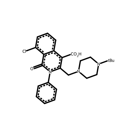 CC(C)(C)N1CCN(Cc2c(C(=O)O)c3cccc(Cl)c3c(=O)n2-c2ccccc2)CC1